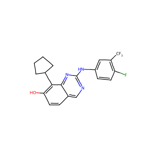 Oc1ccc2cnc(Nc3ccc(F)c(C(F)(F)F)c3)nc2c1C1CCCC1